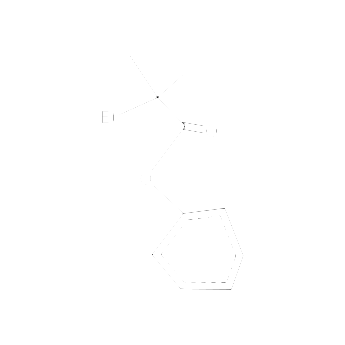 CCC(C)(CC)C(=O)Oc1ccccc1